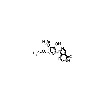 O=c1[nH]cnc2c1cnn2[C@@H]1O[C@H](CO[SiH3])[C@@H](O[SiH3])[C@H]1O